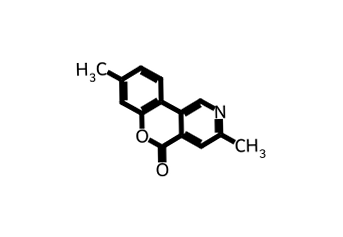 Cc1ccc2c(c1)oc(=O)c1cc(C)ncc12